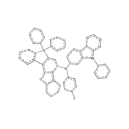 Fc1ccc(N(c2ccc3c4ccccc4n(-c4ccccc4)c3c2)c2cc3c(c4oc5ccccc5c24)-c2ccccc2C3(c2ccccc2)c2ccccc2)cc1